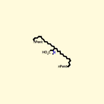 CCCCC/C=C\C/C=C\CCCCCCCCC(CCCCCCCC/C=C\C/C=C\CCCCC)/C(CC(=O)O)=N/C